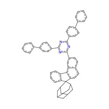 c1ccc(-c2ccc(-c3nc(-c4ccc(-c5ccccc5)cc4)nc(-c4ccc5ccc6c(c5c4)-c4ccccc4C64C5CC6CC(C5)CC4C6)n3)cc2)cc1